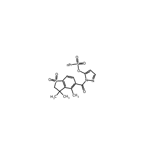 CCCS(=O)(=O)Oc1ccnn1C(=O)c1ccc2c(c1C)C(C)(C)CS2(=O)=O